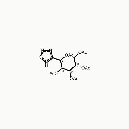 CC(=O)OC[C@H](OC(C)=O)[C@@H](OC(C)=O)[C@@H](OC(C)=O)[C@H](OC(C)=O)c1nnn[nH]1